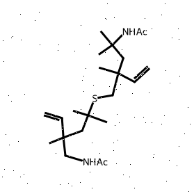 C=CC(C)(CSC(C)(C)CC(C)(C=C)CNC(C)=O)CC(C)(C)NC(C)=O